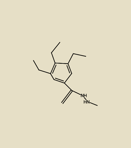 C=C(NNC)c1cc(CC)c(CC)c(CC)c1